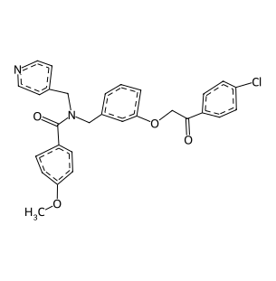 COc1ccc(C(=O)N(Cc2ccncc2)Cc2cccc(OCC(=O)c3ccc(Cl)cc3)c2)cc1